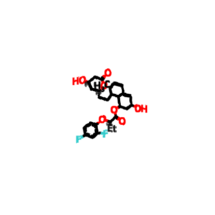 CC[C@H](Oc1ccc(F)cc1F)C(=O)OC1CC(O)C=C2C=CC(C)C(CC[C@@H]3C[C@@H](O)CC(=O)O3)C21